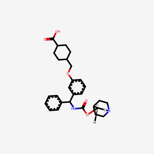 O=C(NC(c1ccccc1)c1cccc(OCC2CCC(C(=O)O)CC2)c1)O[C@H]1CN2CCC1CC2